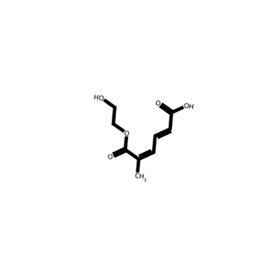 CC(=CC=CC(=O)O)C(=O)OCCO